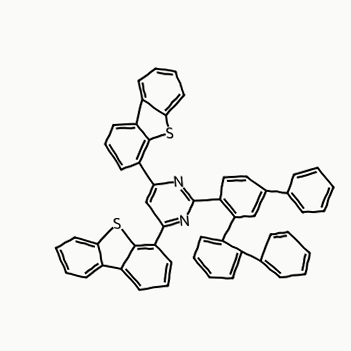 c1ccc(-c2ccc(-c3nc(-c4cccc5c4sc4ccccc45)cc(-c4cccc5c4sc4ccccc45)n3)c(-c3ccccc3-c3ccccc3)c2)cc1